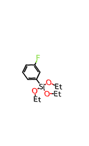 CCO[Si](OCC)(OCC)c1cccc(F)c1